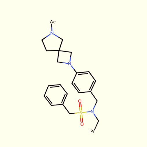 CC(=O)N1CCC2(C1)CN(c1ccc(CN(CC(C)C)S(=O)(=O)Cc3ccccc3)cc1)C2